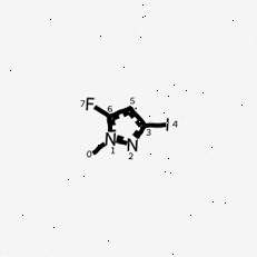 Cn1nc(I)[c]c1F